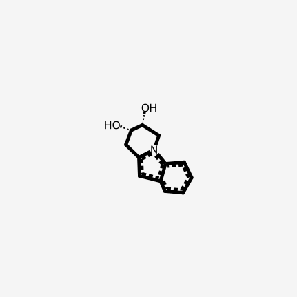 O[C@@H]1Cn2c(cc3ccccc32)C[C@@H]1O